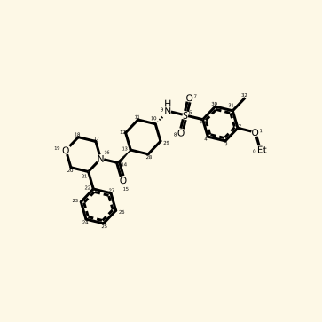 CCOc1ccc(S(=O)(=O)N[C@H]2CC[C@H](C(=O)N3CCOCC3c3ccccc3)CC2)cc1C